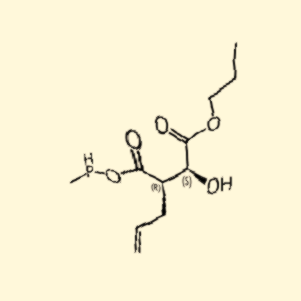 C=CC[C@@H](C(=O)OPC)[C@H](O)C(=O)OCCC